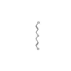 Cl/C=C/COC/C=C/Cl